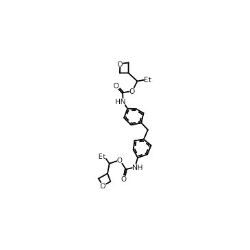 CCC(OC(=O)Nc1ccc(Cc2ccc(NC(=O)OC(CC)C3COC3)cc2)cc1)C1COC1